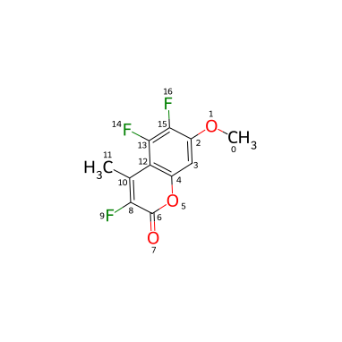 COc1cc2oc(=O)c(F)c(C)c2c(F)c1F